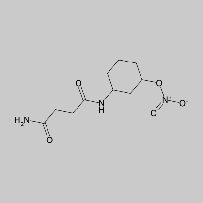 NC(=O)CCC(=O)NC1CCCC(O[N+](=O)[O-])C1